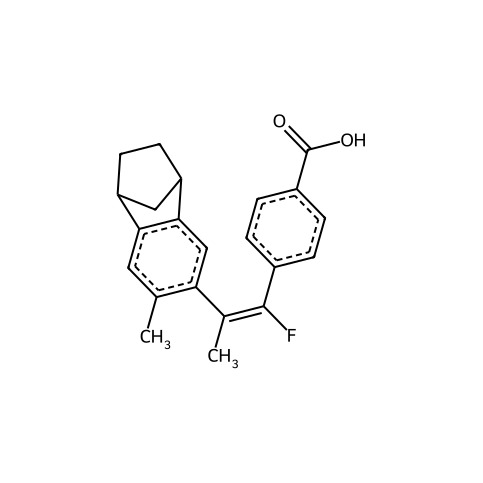 C/C(=C(\F)c1ccc(C(=O)O)cc1)c1cc2c(cc1C)C1CCC2C1